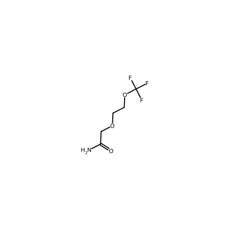 NC(=O)COCCOC(F)(F)F